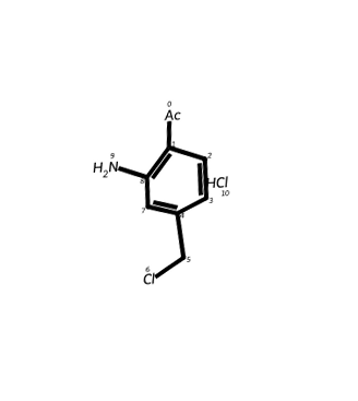 CC(=O)c1ccc(CCl)cc1N.Cl